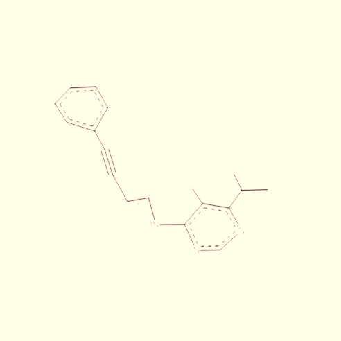 CC(F)c1ncnc(NCCC#Cc2ccccc2)c1I